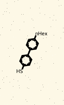 CCCCCCc1ccc(-c2ccc(S)cc2)cc1